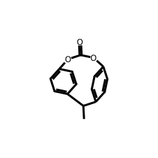 CC1c2ccc(cc2)OC(=O)Oc2ccc1cc2